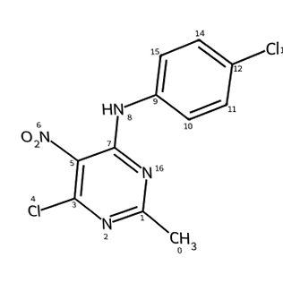 Cc1nc(Cl)c([N+](=O)[O-])c(Nc2ccc(Cl)cc2)n1